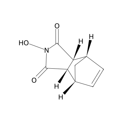 O=C1[C@@H]2[C@H](C(=O)N1O)[C@@H]1C=C[C@H]2C1